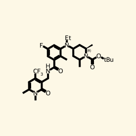 CCN(c1cc(F)cc(C(=O)NCc2c(C(F)(F)F)cc(C)n(C)c2=O)c1C)C1CC(C)N(C(=O)OC(C)(C)C)[C@H](C)C1